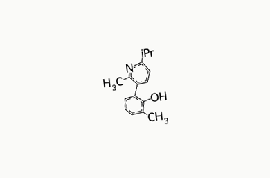 Cc1cccc(-c2ccc(C(C)C)nc2C)c1O